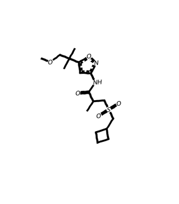 COCC(C)(C)c1cc(NC(=O)C(C)CS(=O)(=O)CC2CCC2)no1